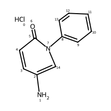 Cl.Nc1ccc(=O)n(-c2ccccc2)c1